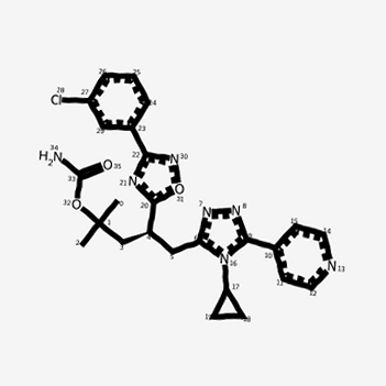 CC(C)(C[C@H](Cc1nnc(-c2ccncc2)n1C1CC1)c1nc(-c2cccc(Cl)c2)no1)OC(N)=O